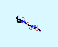 O=C(CCOCCNC(=O)c1cccc(CI)c1)NCCOCCI